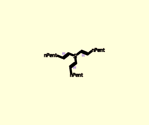 CCCCC/C=C/[Si](/C=C/CCCCC)/C=C/CCCCC